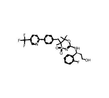 CC1(C)OC(N[C@@H](CCO)c2ccccc2F)=NS(=O)(=O)C1(C)Cc1ccc(-c2ccc(C(F)(F)F)cn2)cc1